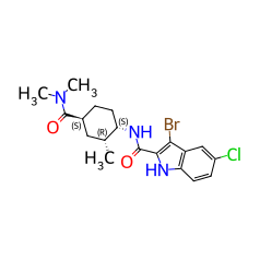 C[C@@H]1C[C@@H](C(=O)N(C)C)CC[C@@H]1NC(=O)c1[nH]c2ccc(Cl)cc2c1Br